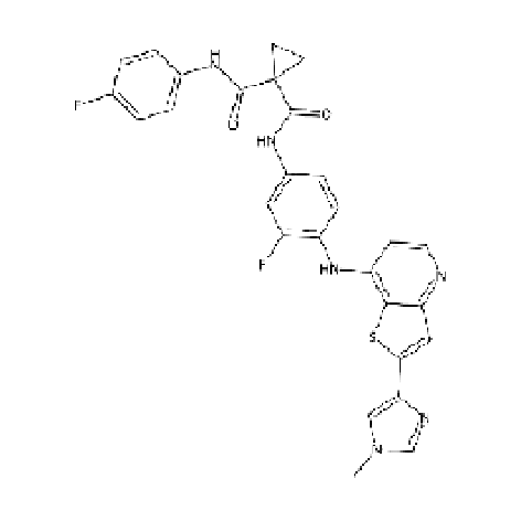 Cn1cnc(-c2cc3nccc(Nc4ccc(NC(=O)C5(C(=O)Nc6ccc(F)cc6)CC5)cc4F)c3s2)c1